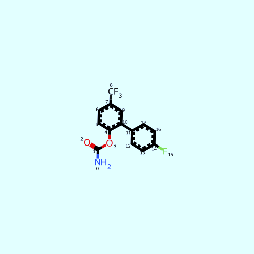 NC(=O)Oc1ccc(C(F)(F)F)cc1-c1ccc(F)cc1